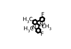 Cc1cc2c3c([n+](C)c4ccc(F)cc4c3c1)-c1cc(F)ccc1N2C